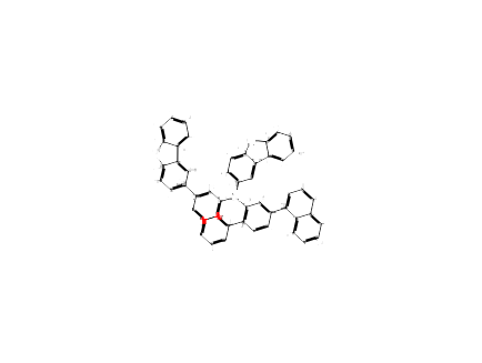 c1ccc(-c2ccc(-c3cccc4ccccc34)cc2N(c2cccc(-c3ccc4sc5ccccc5c4c3)c2)c2ccc3oc4ccccc4c3c2)cc1